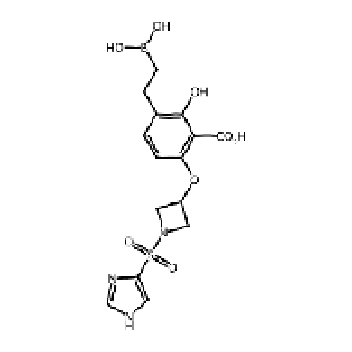 O=C(O)c1c(OC2CN(S(=O)(=O)c3c[nH]cn3)C2)ccc(CCB(O)O)c1O